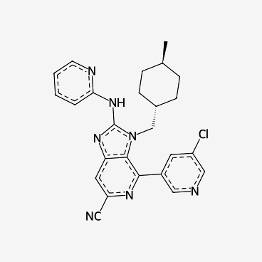 C[C@H]1CC[C@H](Cn2c(Nc3ccccn3)nc3cc(C#N)nc(-c4cncc(Cl)c4)c32)CC1